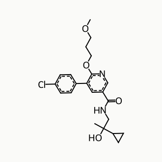 COCCCOc1ncc(C(=O)NCC(C)(O)C2CC2)cc1-c1ccc(Cl)cc1